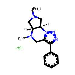 CCCCCN1C[C@@H]2[C@@H](C1)n1nnc(-c3ccccc3)c1CN2CCC.Cl